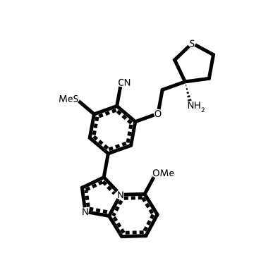 COc1cccc2ncc(-c3cc(OC[C@]4(N)CCSC4)c(C#N)c(SC)c3)n12